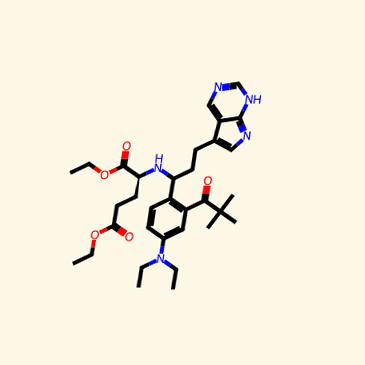 CCOC(=O)CC[C@H](NC(CCc1cnc2[nH]cncc1-2)c1ccc(N(CC)CC)cc1C(=O)C(C)(C)C)C(=O)OCC